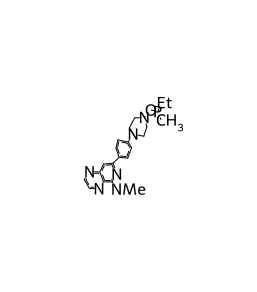 CCP(C)ON1CCN(c2ccc(-c3cc4nccnc4c(NC)n3)cc2)CC1